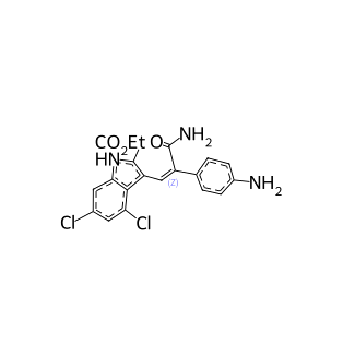 CCOC(=O)c1[nH]c2cc(Cl)cc(Cl)c2c1/C=C(\C(N)=O)c1ccc(N)cc1